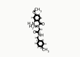 COc1ccc(C(=O)N(N)CC(=O)NCc2ccc(C)cc2)c(N)c1